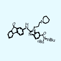 CCCCN(CCCC)C(=O)c1ccc2nc(Nc3ccc4c(c3)C(=O)c3ccccc3-4)n(CCCN3CCCCC3)c2c1